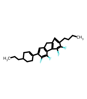 CCCCc1cc2c(c(F)c1F)-c1c(cc(C3=CCC(CCC)CC3)c(F)c1F)C2